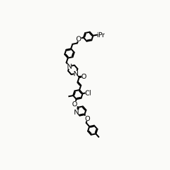 Cc1ccc(COc2ccc(Oc3cc(Cl)c(C=CC(=O)N4CCN(Cc5ccc(CCOc6ccc(C(C)C)cc6)cc5)CC4)cc3C)nc2)cc1